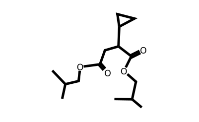 CC(C)COC(=O)CC(C(=O)OCC(C)C)C1CC1